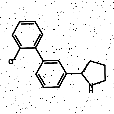 Clc1ccccc1-c1c[c]cc(C2CCCN2)c1